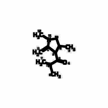 C=C1C(C(=O)N(C)C)C(C)CN1C